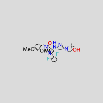 COc1ccc(CN2Cc3nc(-c4c(F)cccc4F)cc(Nc4ccc(N5CCC(O)C(C)(C)C5)cn4)c3C2=O)c(OC)c1